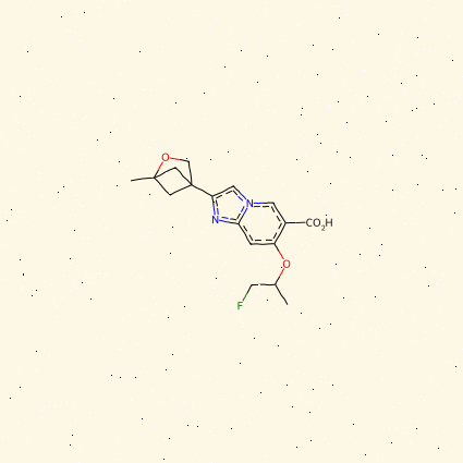 CC(CF)Oc1cc2nc(C34COC(C)(C3)C4)cn2cc1C(=O)O